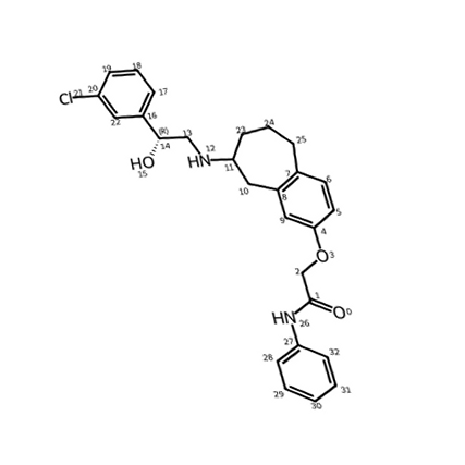 O=C(COc1ccc2c(c1)CC(NC[C@H](O)c1cccc(Cl)c1)CCC2)Nc1ccccc1